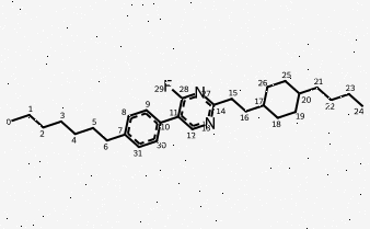 CCCCCCCc1ccc(-c2cnc(CCC3CCC(CCCC)CC3)nc2F)cc1